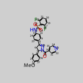 COc1ccc(C2CC(c3ccc(NS(=O)(=O)c4c(F)cccc4F)cc3)=NN2C(=O)c2ccncc2)cc1